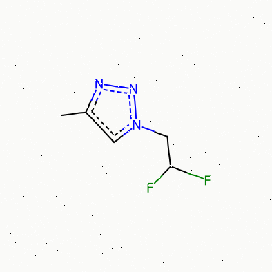 Cc1cn(CC(F)F)nn1